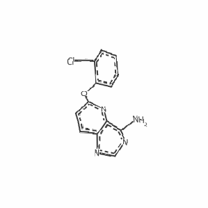 Nc1ncnc2ccc(Oc3ccccc3Cl)nc12